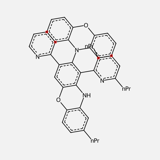 CCCc1ccc2c(c1)Nc1c(cc(-c3ccccn3)c(N3c4ccccc4Oc4ccccc43)c1-c1nc(CCC)ccc1CCC)O2